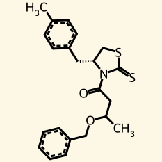 Cc1ccc(C[C@@H]2CSC(=S)N2C(=O)CC(C)OCc2ccccc2)cc1